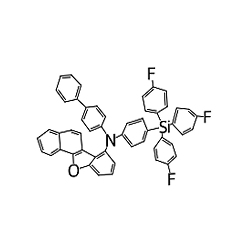 Fc1ccc([Si](c2ccc(F)cc2)(c2ccc(F)cc2)c2ccc(N(c3ccc(-c4ccccc4)cc3)c3cccc4oc5c6ccccc6ccc5c34)cc2)cc1